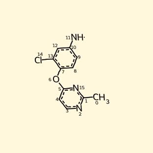 Cc1nccc(Oc2ccc([NH])cc2Cl)n1